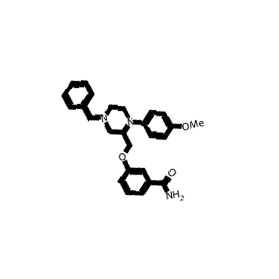 COc1ccc(N2CCN(Cc3ccccc3)CC2COc2cccc(C(N)=O)c2)cc1